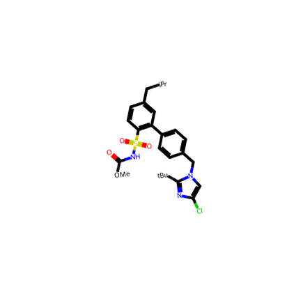 COC(=O)NS(=O)(=O)c1ccc(CC(C)C)cc1-c1ccc(Cn2cc(Cl)nc2C(C)(C)C)cc1